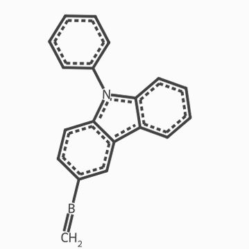 C=Bc1ccc2c(c1)c1ccccc1n2-c1ccccc1